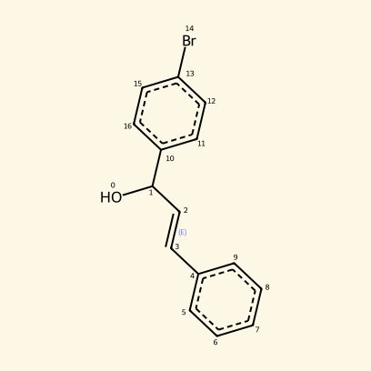 OC(/C=C/c1ccccc1)c1ccc(Br)cc1